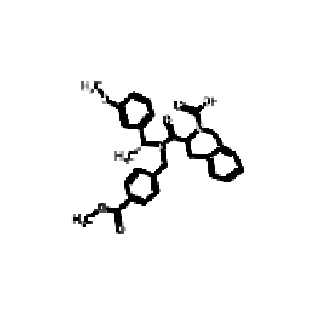 COC(=O)c1ccc(CN(C(=O)C2Cc3ccccc3CN2C(=O)O)[C@H](C)c2cccc(OC)c2)cc1